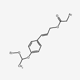 CCOC(C)Oc1ccc(/C=C/COC(=O)CC(C)=O)cc1